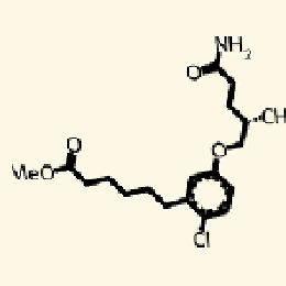 COC(=O)CCCCCc1cc(OC[C@@H](C)CCC(N)=O)ccc1Cl